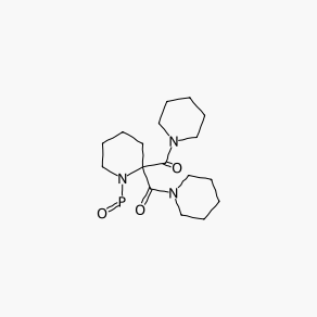 O=PN1CCCCC1(C(=O)N1CCCCC1)C(=O)N1CCCCC1